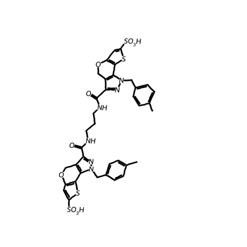 Cc1ccc(Cn2nc(C(=O)NCCCNC(=O)c3nn(Cc4ccc(C)cc4)c4c3COc3cc(S(=O)(=O)O)sc3-4)c3c2-c2sc(S(=O)(=O)O)cc2OC3)cc1